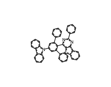 c1ccc(-c2nc(-c3c(-c4ccccc4)cc(-n4c5ccccc5c5ccccc54)cc3-c3ccccc3)c3sc4ccccc4c3n2)cc1